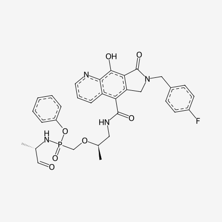 C[C@H](CNC(=O)c1c2c(c(O)c3ncccc13)C(=O)N(Cc1ccc(F)cc1)C2)OCP(=O)(N[C@@H](C)C=O)Oc1ccccc1